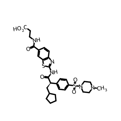 CN1CCN(S(=O)(=O)c2ccc([C@@H](CC3CCCC3)C(=O)Nc3nc4ccc(C(=O)NCCC(=O)O)cc4s3)cc2)CC1